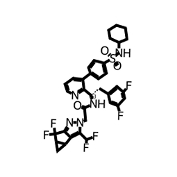 O=C(Cn1nc2c(c1C(F)F)C1CC1C2(F)F)N[C@@H](Cc1cc(F)cc(F)c1)c1ncccc1-c1ccc(S(=O)(=O)NC2CCCCC2)cc1